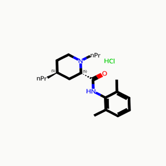 CCC[C@H]1CCN(CCC)[C@H](C(=O)Nc2c(C)cccc2C)C1.Cl